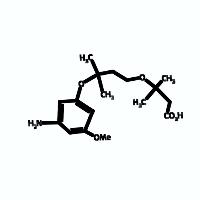 COc1cc(N)cc(OC(C)(C)CCOC(C)(C)CC(=O)O)c1